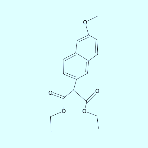 CCOC(=O)C(C(=O)OCC)c1ccc2cc(OC)ccc2c1